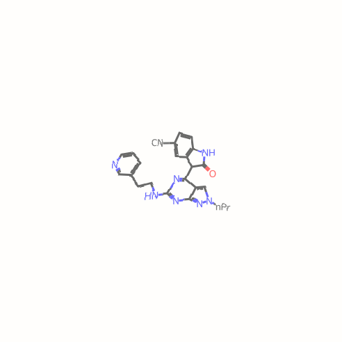 [C-]#[N+]c1ccc2c(c1)C(c1nc(NCCc3cccnc3)nc3nn(CCC)cc13)C(=O)N2